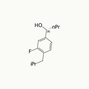 CCC[C@@H](O)c1ccc(CC(C)C)c(F)c1